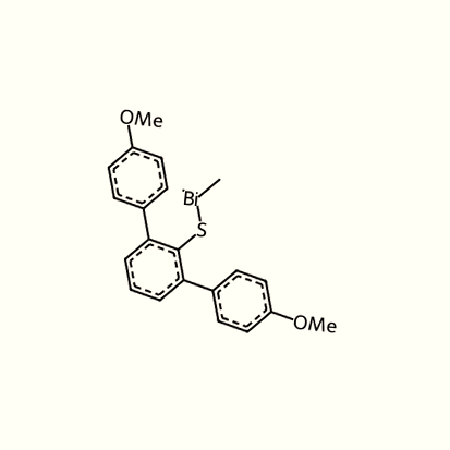 COc1ccc(-c2cccc(-c3ccc(OC)cc3)c2[S][Bi]([CH3])[CH3])cc1